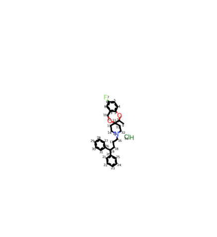 CC1Oc2ccc(F)cc2COC12CCN(CCCC(c1ccccc1)c1ccccc1)CC2.Cl